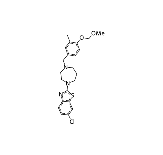 COCOc1ccc(CN2CCCN(c3nc4ccc(Cl)cc4s3)CC2)cc1C